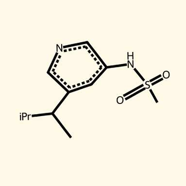 CC(C)C(C)c1cncc(NS(C)(=O)=O)c1